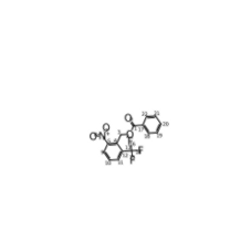 O=C(OCc1c([N+](=O)[O-])cccc1C(F)(F)F)c1ccccc1